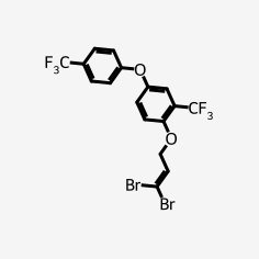 FC(F)(F)c1ccc(Oc2ccc(OCC=C(Br)Br)c(C(F)(F)F)c2)cc1